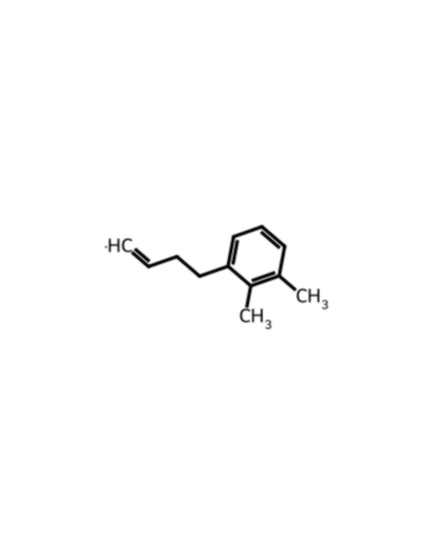 [CH]=CCCc1cccc(C)c1C